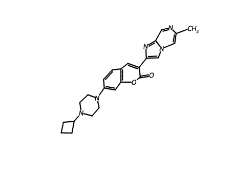 Cc1cn2cc(-c3cc4ccc(N5CCN(C6CCC6)CC5)cc4oc3=O)nc2cn1